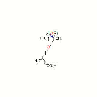 CC(/C=C/C(=O)O)CCCCOCC1CC(C)(C)N(O)C(C)(C)C1